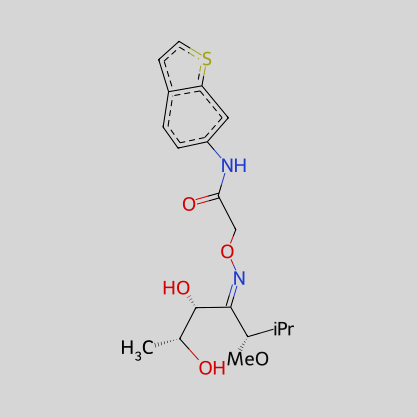 CO[C@H](/C(=N/OCC(=O)Nc1ccc2ccsc2c1)[C@@H](O)[C@@H](C)O)C(C)C